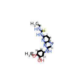 CCNC(=S)Nc1ccc2ncc(Nc3ccc(OC)c(O)c3)nc2n1